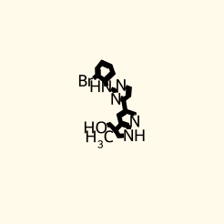 CC1(CO)CNc2ncc(-c3ccnc(Nc4ccccc4Br)n3)cc21